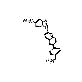 COc1ccc2c(c1)ncn2-c1ccc2cc(-c3ccc(CN)cc3)ccc2n1